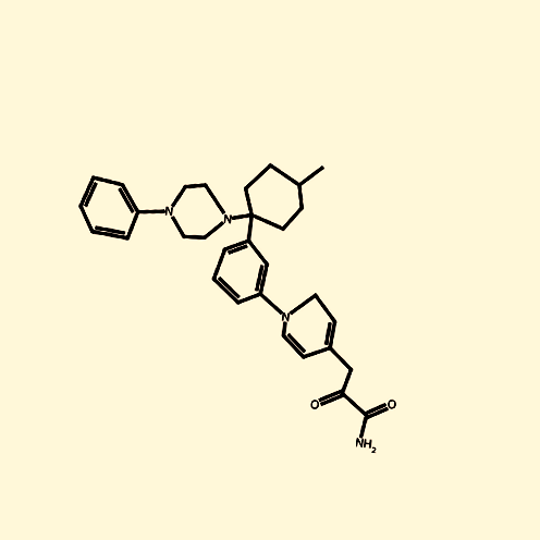 CC1CCC(c2cccc(N3C=CC(CC(=O)C(N)=O)=CC3)c2)(N2CCN(c3ccccc3)CC2)CC1